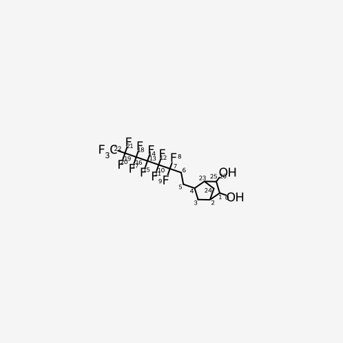 OC1C2CC(CCC(F)(F)C(F)(F)C(F)(F)C(F)(F)C(F)(F)C(F)(F)F)C(C2)C1O